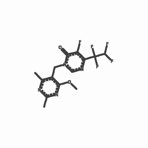 COc1nc(C)nc(C)c1Cn1cnc(C(F)(F)C(F)F)c(F)c1=O